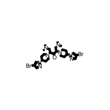 CN(C)CC(C(=O)C(CN(C)C)N1CCC(n2cc(Br)cn2)CC1)N1CCC(n2cc(Br)cn2)CC1